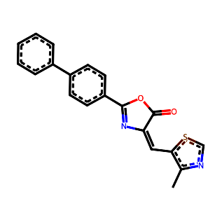 Cc1ncsc1/C=C1/N=C(c2ccc(-c3ccccc3)cc2)OC1=O